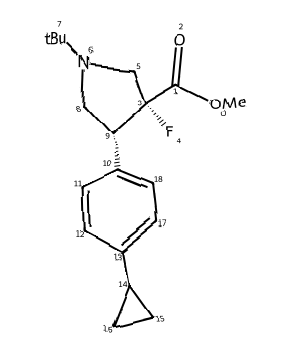 COC(=O)[C@]1(F)CN(C(C)(C)C)C[C@H]1c1ccc(C2CC2)cc1